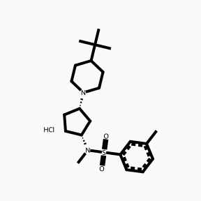 Cc1cccc(S(=O)(=O)N(C)[C@@H]2CC[C@H](N3CCC(C(C)(C)C)CC3)C2)c1.Cl